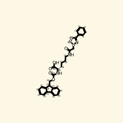 O=C(Cn1nnc(-c2ccccc2)n1)NCCCC[C@H](NC(=O)OCC1c2ccccc2-c2ccccc21)C(=O)O